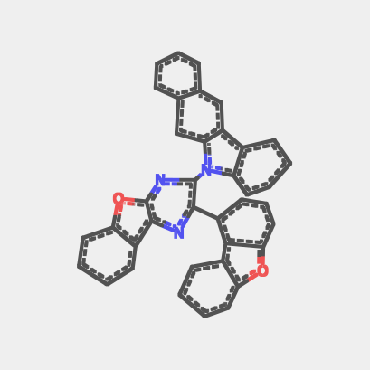 c1ccc2cc3c(cc2c1)c1ccccc1n3-c1nc2oc3ccccc3c2nc1-c1cccc2oc3ccccc3c12